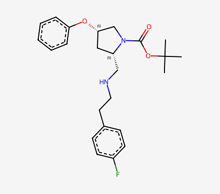 CC(C)(C)OC(=O)N1C[C@@H](Oc2ccccc2)C[C@H]1CNCCc1ccc(F)cc1